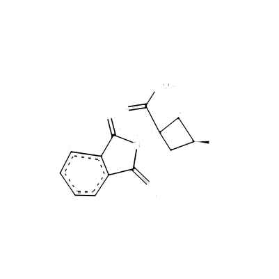 COC(=O)[C@]1(N2C(=O)c3ccccc3C2=O)C[C@H](O)C1